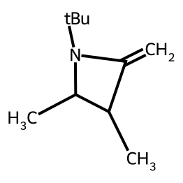 C=C1C(C)C(C)N1C(C)(C)C